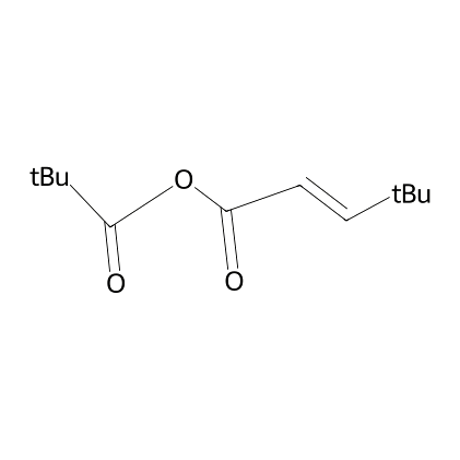 CC(C)(C)/C=C/C(=O)OC(=O)C(C)(C)C